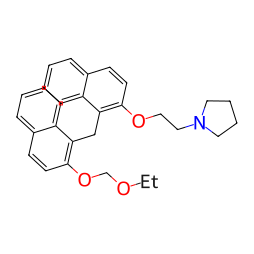 CCOCOc1ccc2ccccc2c1Cc1c(OCCN2CCCC2)ccc2ccccc12